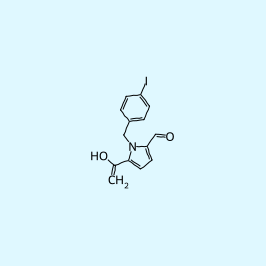 C=C(O)c1ccc(C=O)n1Cc1ccc(I)cc1